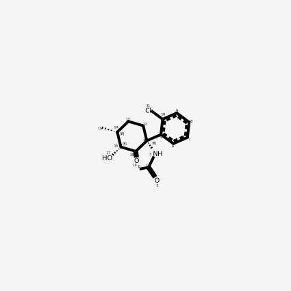 CC(=O)N[C@@]1(c2ccccc2Cl)CC[C@@H](C)[C@@H](O)C1=O